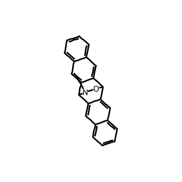 CN1OC2c3cc4ccccc4cc3C1c1cc3ccccc3cc12